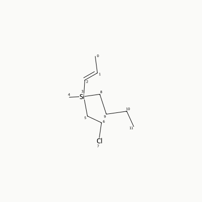 CC=C[Si](C)(CCCl)CCCC